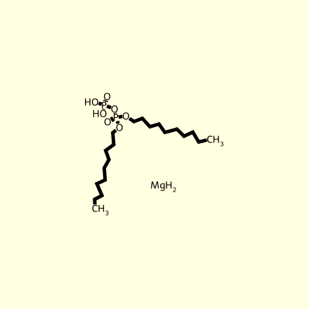 CCCCCCCCCCOP(=O)(OCCCCCCCCCC)OP(=O)(O)O.[MgH2]